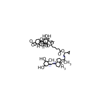 C=C1/C(=C\C=C2/CCC[C@@]3(C)C2CCC3[C@@H](C)/C=C/C(OC(=O)CCCCC(=O)O[C@H]2[C@]34O[C@H]3C[C@H]3C5=C(CC[C@]3(C)[C@@]43O[C@H]3[C@@]3(O)C[C@]23C(C)C)C(=O)OC5)C2CC2)C[C@@H](O)C[C@@H]1O